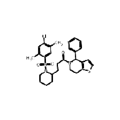 Cc1cc(S(=O)(=O)N2CCCCC2CCC(=O)N2CCc3sccc3C2c2ccccc2)c(C)cc1Cl